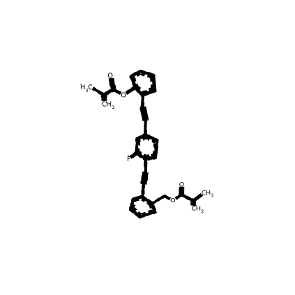 C=C(C)C(=O)OCc1ccccc1C#Cc1ccc(C#Cc2ccccc2OC(=O)C(=C)C)cc1F